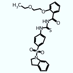 CCOCCOc1ccccc1C(=O)NC(=S)Nc1ccc(S(=O)(=O)N2CCc3ccccc32)cc1